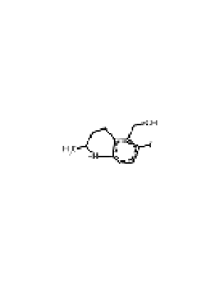 CC1CCc2c(ccc(F)c2CO)N1